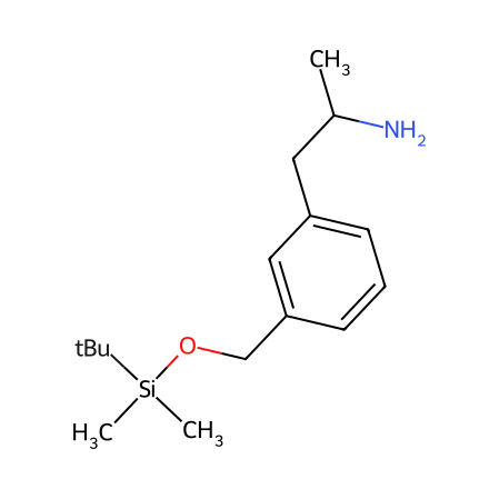 CC(N)Cc1cccc(CO[Si](C)(C)C(C)(C)C)c1